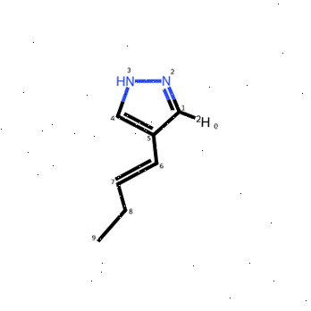 [2H]c1n[nH]cc1C=CCC